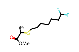 COC(=O)C(SCCCCCCC(F)F)C(C)C